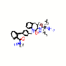 CCNC(=O)c1ccccc1-c1ccc(CN2C(=O)C(NC(=O)C(C)(C)N)C(C)Cc3ccccc32)cc1